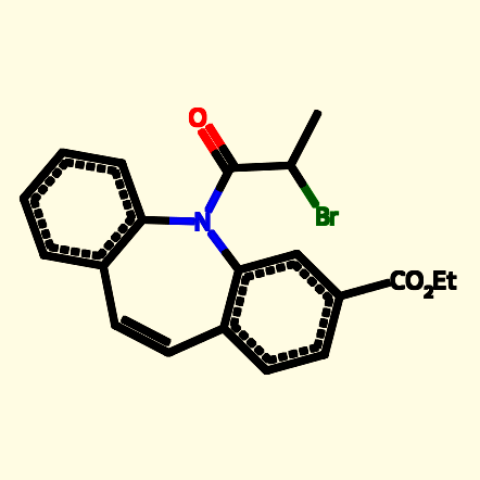 CCOC(=O)c1ccc2c(c1)N(C(=O)C(C)Br)c1ccccc1C=C2